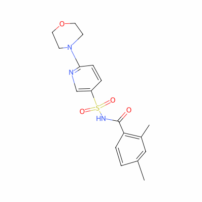 Cc1ccc(C(=O)NS(=O)(=O)c2ccc(N3CCOCC3)nc2)c(C)c1